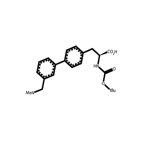 CNCc1cccc(-c2ccc(C[C@H](NC(=O)OC(C)(C)C)C(=O)O)cc2)c1